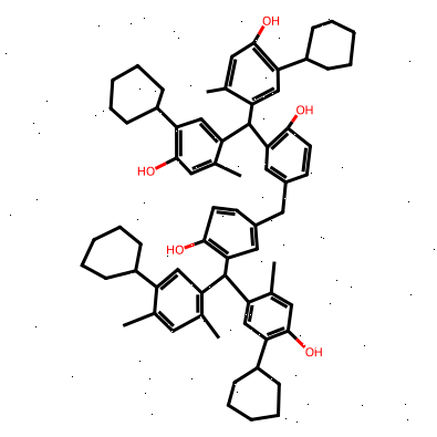 Cc1cc(C)c(C(c2cc(C3CCCCC3)c(O)cc2C)c2cc(Cc3ccc(O)c(C(c4cc(C5CCCCC5)c(O)cc4C)c4cc(C5CCCCC5)c(O)cc4C)c3)ccc2O)cc1C1CCCCC1